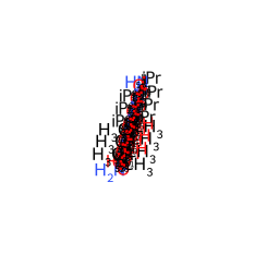 CC(C)CNCC(=O)N(CC(=O)N(CC(=O)N(CC(=O)N(CC(=O)N(CC(=O)N(CC(=O)N(CC(=O)N(CC(=O)N(CC(=O)N(CC(=O)N(CC(=O)N(CC(=O)N(CC(N)=O)CC(C)O)CC(C)O)CC(C)O)CC(C)O)CC(C)O)CC(C)O)CC(C)O)CC(C)C)CC(C)C)CC(C)C)CC(C)C)CC(C)C)CC(C)C